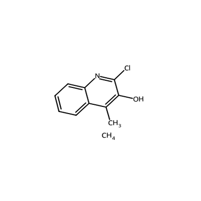 C.Cc1c(O)c(Cl)nc2ccccc12